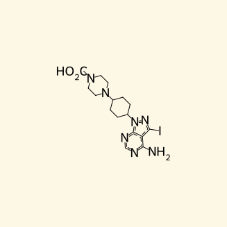 Nc1ncnc2c1c(I)nn2C1CCC(N2CCN(C(=O)O)CC2)CC1